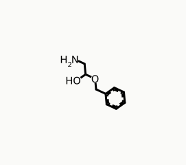 NCC(O)OCc1ccccc1